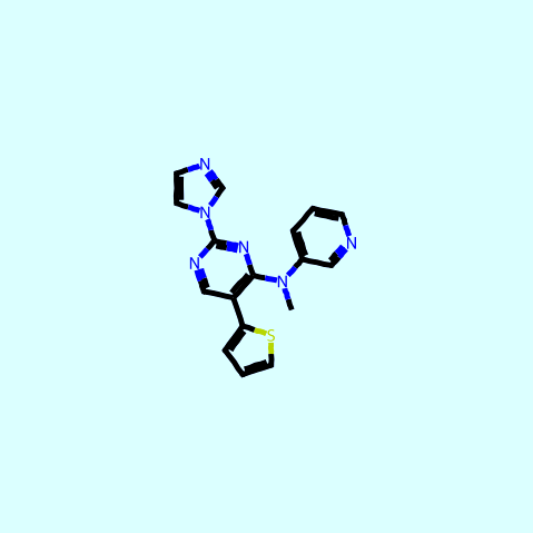 CN(c1cccnc1)c1nc(-n2ccnc2)ncc1-c1cccs1